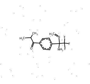 C=NC(N)(c1ccc(C(=O)C(C)C)cc1)C(F)(F)F